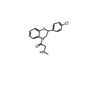 CNCC(=O)N1CC(c2ccc(Cl)cc2)Sc2ccccc21